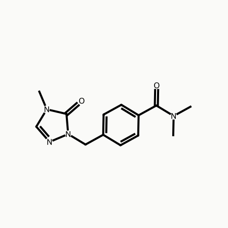 CN(C)C(=O)c1ccc(Cn2ncn(C)c2=O)cc1